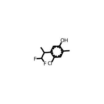 Cc1cc(Cl)c(C(C)C(F)F)cc1O